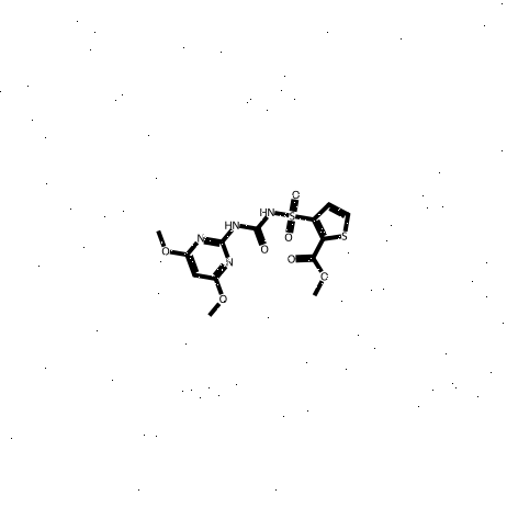 COC(=O)c1sccc1S(=O)(=O)NC(=O)Nc1nc(OC)cc(OC)n1